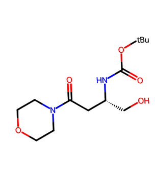 CC(C)(C)OC(=O)N[C@H](CO)CC(=O)N1CCOCC1